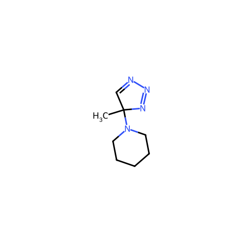 CC1(N2CCCCC2)C=NN=N1